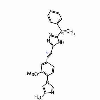 COc1cc(/C=C/c2nnc([C@H](C)c3ccccc3)[nH]2)ccc1-n1cnc(C)c1